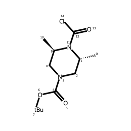 C[C@@H]1CN(C(=O)OC(C)(C)C)C[C@@H](C)N1C(=O)Cl